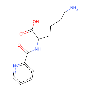 NCCCCC(NC(=O)c1ccccn1)C(=O)O